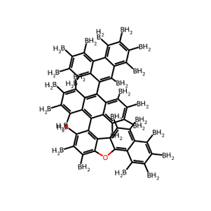 Bc1c(B)c(-c2c3c(B)c(B)c(B)c(B)c3c(-c3c(B)c4c(B)c(B)c(B)c(B)c4c4c(B)c(B)c(B)c(B)c34)c3c(B)c(B)c(B)c(B)c23)c2c(oc3c4c(B)c(B)c(B)c(B)c4c(B)c(B)c32)c1B